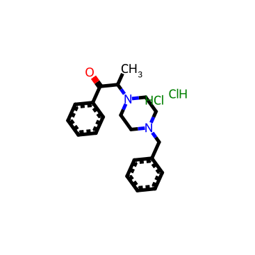 CC(C(=O)c1ccccc1)N1CCN(Cc2ccccc2)CC1.Cl.Cl